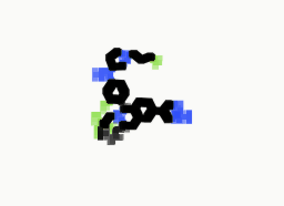 C[C@@H]1Cc2cc(-c3cn[nH]c3)ccc2[C@@H](c2ccc(NC3CCN(CCCF)C3)cc2F)N1CC(F)(F)F